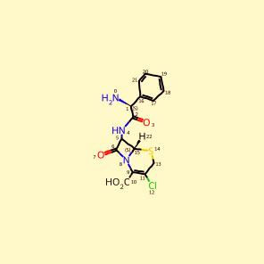 N[C@H](C(=O)NC1C(=O)N2C(C(=O)O)=C(Cl)CS[C@@H]12)c1ccccc1